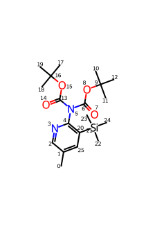 Cc1cnc(N(C(=O)OC(C)(C)C)C(=O)OC(C)(C)C)c([Si](C)(C)C)c1